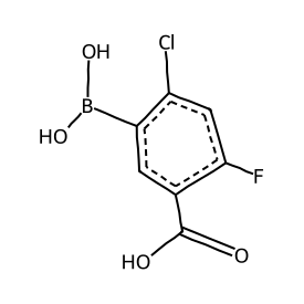 O=C(O)c1cc(B(O)O)c(Cl)cc1F